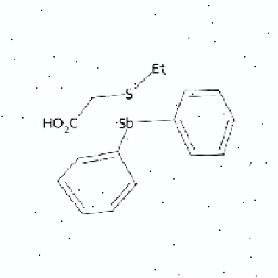 CCSCC(=O)O.c1cc[c]([Sb][c]2ccccc2)cc1